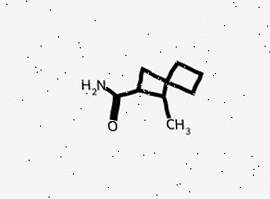 CC1C(C(N)=O)CC12CCC2